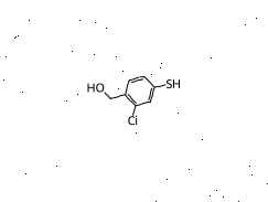 OCc1ccc(S)cc1Cl